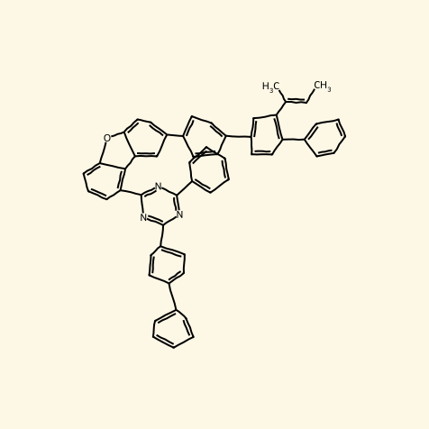 C/C=C(\C)c1cc(-c2ccc(-c3ccc4oc5cccc(-c6nc(-c7ccccc7)nc(-c7ccc(-c8ccccc8)cc7)n6)c5c4c3)cc2)ccc1-c1ccccc1